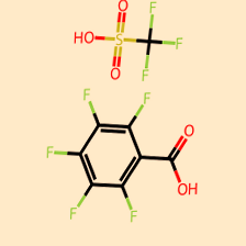 O=C(O)c1c(F)c(F)c(F)c(F)c1F.O=S(=O)(O)C(F)(F)F